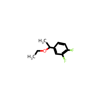 CCOC(C)c1ccc(F)c(F)c1